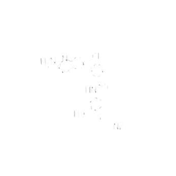 Cc1cc(NC(=O)c2ccc(C)c(-c3ccc4nc(N)ncc4c3)c2)ccc1OC1CCN(C)CC1